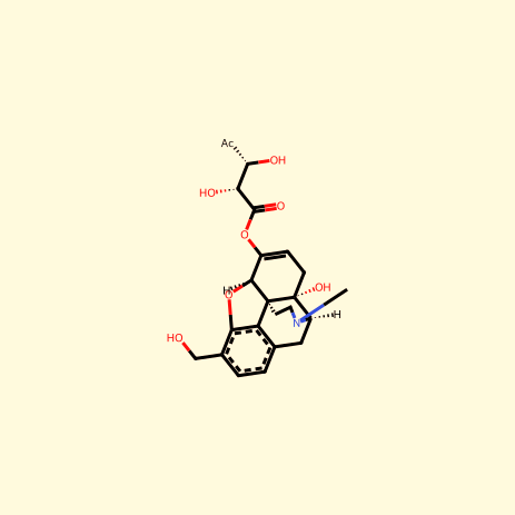 CC(=O)[C@H](O)[C@@H](O)C(=O)OC1=CC[C@@]2(O)[C@H]3Cc4ccc(CO)c5c4[C@@]2(CCN3C)[C@H]1O5